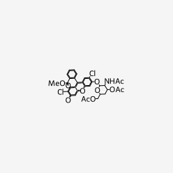 COC(=O)c1ccccc1-c1c2cc(Cl)c(=O)cc-2oc2cc(OC3OC(COC(C)=O)CC(OC(C)=O)C3NC(C)=O)c(Cl)cc12